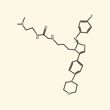 CN(C)CCNC(=O)CNCCCn1c(-c2ccc(N3CCOCC3)cc2)cs/c1=N\c1ccc(F)cc1